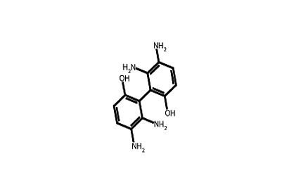 Nc1ccc(O)c(-c2c(O)ccc(N)c2N)c1N